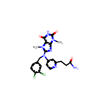 Cn1c(N(Cc2ccc(Cl)c(Cl)c2)c2ccnc(CCC(N)=O)c2)nc2c1c(=O)[nH]c(=O)n2C